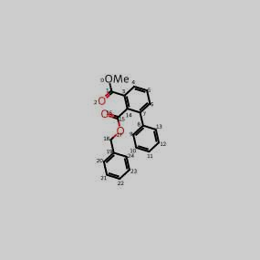 COC(=O)c1cccc(-c2ccccc2)c1C(=O)OCc1ccccc1